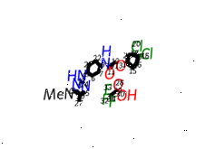 CNc1nc(N[C@H]2CC[C@@H](NC(=O)COc3ccc(Cl)c(Cl)c3)CC2)ncc1C.O=C(O)C(F)(F)F